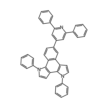 c1ccc(-c2cc(-c3ccc4c(c3)c3ccn(-c5ccccc5)c3c3ccn(-c5ccccc5)c43)cc(-c3ccccc3)n2)cc1